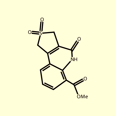 COC(=O)c1cccc2c3c(c(=O)[nH]c12)CS(=O)(=O)C3